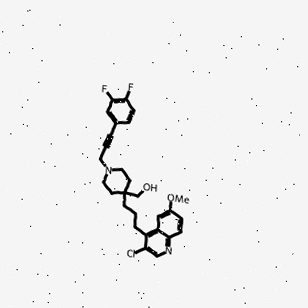 COc1ccc2ncc(Cl)c(CCCC3(CO)CCN(CC#Cc4ccc(F)c(F)c4)CC3)c2c1